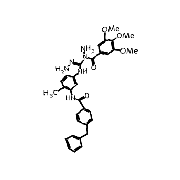 COc1cc(C(=O)N(N)C(=NN)Nc2ccc(C)c(NC(=O)c3ccc(Cc4ccccc4)cc3)c2)cc(OC)c1OC